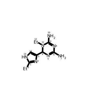 CCc1nc(C2N=C(N)N=C(N)N2CC)c[nH]1